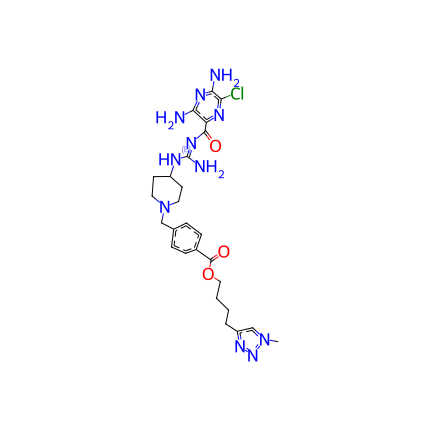 Cn1cc(CCCCOC(=O)c2ccc(CN3CCC(N/C(N)=N/C(=O)c4nc(Cl)c(N)nc4N)CC3)cc2)nn1